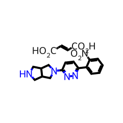 O=C(O)C=CC(=O)O.O=[N+]([O-])c1ccccc1-c1ccc(N2CC3CNCC3C2)nn1